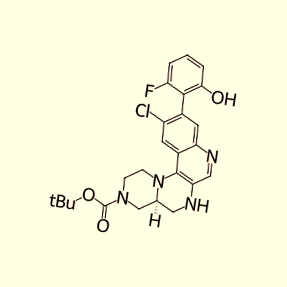 CC(C)(C)OC(=O)N1CCN2c3c(cnc4cc(-c5c(O)cccc5F)c(Cl)cc34)NC[C@H]2C1